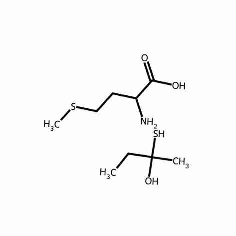 CCC(C)(O)S.CSCCC(N)C(=O)O